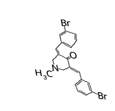 CN1C/C(=C/c2cccc(Br)c2)C(=O)/C(=C/c2cccc(Br)c2)C1